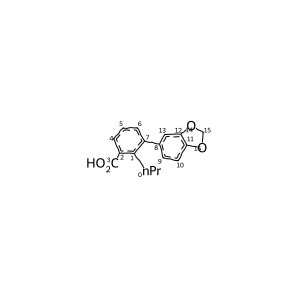 CCCc1c(C(=O)O)cccc1-c1ccc2c(c1)OCO2